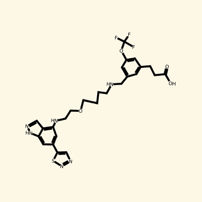 O=C(O)CCc1cc(CNCCCCOCCNc2cc(-c3cnns3)cc3[nH]ncc23)cc(OC(F)(F)F)c1